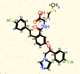 CSCC[C@H](NC(=O)c1cc(OC(Cn2ccnc2)c2ccc(F)cc2)ccc1CCc1ccc(F)cc1)C(=O)O